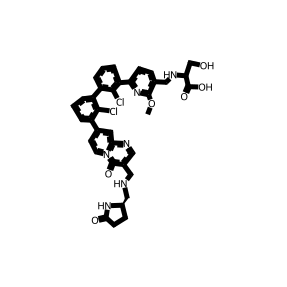 COc1nc(-c2cccc(-c3cccc(-c4ccn5c(=O)c(CNC[C@H]6CCC(=O)N6)cnc5c4)c3Cl)c2Cl)ccc1CNC(CO)C(=O)O